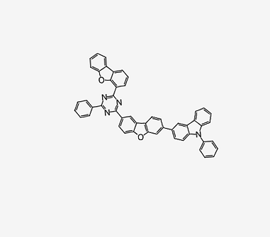 c1ccc(-c2nc(-c3ccc4oc5cc(-c6ccc7c(c6)c6ccccc6n7-c6ccccc6)ccc5c4c3)nc(-c3cccc4c3oc3ccccc34)n2)cc1